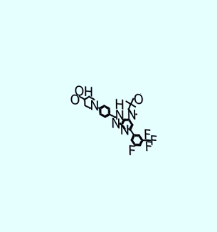 COCC(C)(C)CN(C)c1cc(-c2cc(F)cc(C(F)(F)F)c2)nc2nc(-c3ccc(N4CCC(C(=O)O)CC4)cc3)[nH]c12